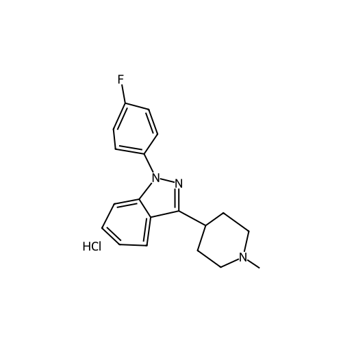 CN1CCC(c2nn(-c3ccc(F)cc3)c3ccccc23)CC1.Cl